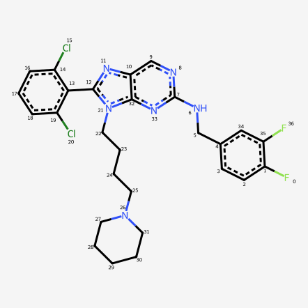 Fc1ccc(CNc2ncc3nc(-c4c(Cl)cccc4Cl)n(CCCCN4CCCCC4)c3n2)cc1F